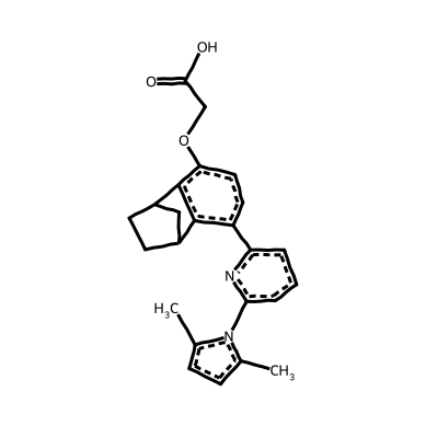 Cc1ccc(C)n1-c1cccc(-c2ccc(OCC(=O)O)c3c2C2CCC3C2)n1